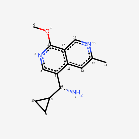 COc1ncc([C@H](N)C2CC2)c2cc(C)ncc12